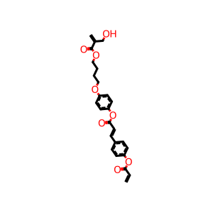 C=CC(=O)Oc1ccc(/C=C/C(=O)Oc2ccc(OCCCCOC(=O)C(=C)CO)cc2)cc1